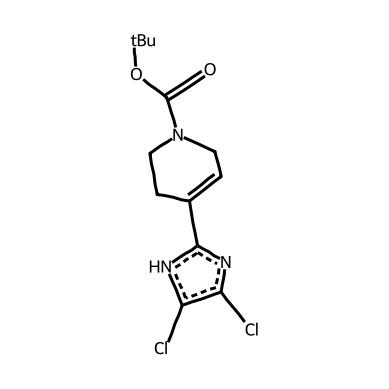 CC(C)(C)OC(=O)N1CC=C(c2nc(Cl)c(Cl)[nH]2)CC1